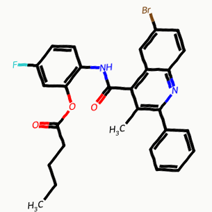 CCCCC(=O)Oc1cc(F)ccc1NC(=O)c1c(C)c(-c2ccccc2)nc2ccc(Br)cc12